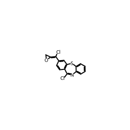 ClC1=Nc2ccccc2Sc2cc(/C(Cl)=C3/CO3)ccc21